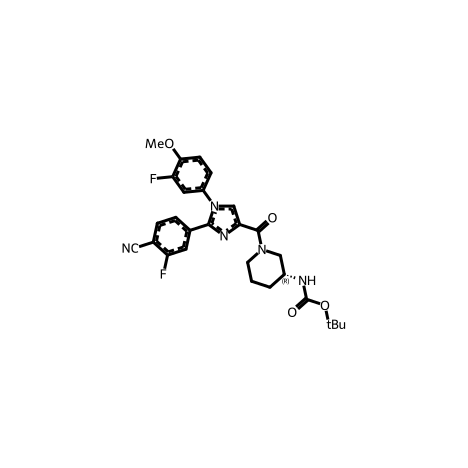 COc1ccc(-n2cc(C(=O)N3CCC[C@@H](NC(=O)OC(C)(C)C)C3)nc2-c2ccc(C#N)c(F)c2)cc1F